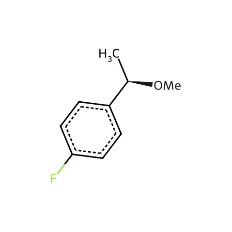 CO[C@H](C)c1ccc(F)cc1